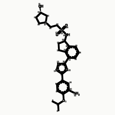 CC(C)Oc1ccc(-c2nnc(-c3cccc4c3CCC4NS(=O)(=O)CCN3CC[C@H](O)C3)s2)cc1N